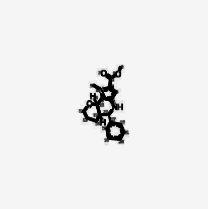 COC(=O)c1cc2c(n1C)[C@H]1OCCC[C@H]1[C@H](c1ccccc1)N2